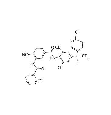 N#Cc1ccc(C(=O)Nc2c(Cl)cc(C(F)(c3ccc(Cl)cc3)C(F)(F)F)cc2Cl)cc1NC(=O)c1ccccc1F